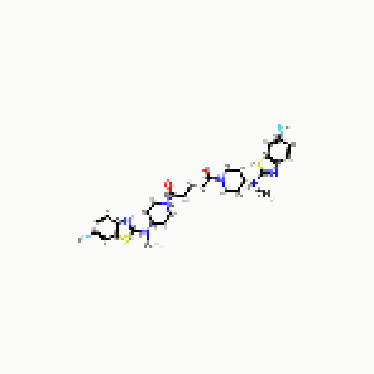 CN(c1nc2ccc(F)cc2s1)C1CCN(C(=O)CCCC(=O)N2CCC(N(C)c3nc4ccc(F)cc4s3)CC2)CC1